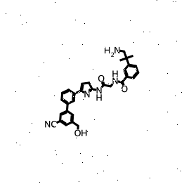 CC(C)(CN)c1cccc(C(=O)NCC(=O)NC2=NC(c3cccc(-c4cc(C#N)cc(CO)c4)c3)=CC2)c1